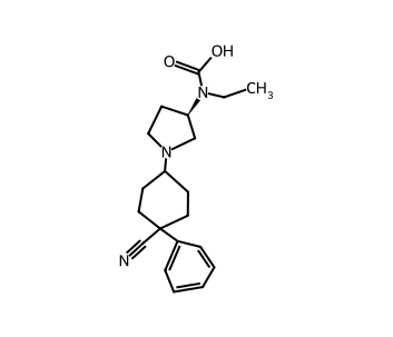 CCN(C(=O)O)[C@@H]1CCN(C2CCC(C#N)(c3ccccc3)CC2)C1